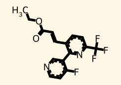 CCOC(=O)C=Cc1ccc(C(F)(F)F)nc1-c1cnccc1F